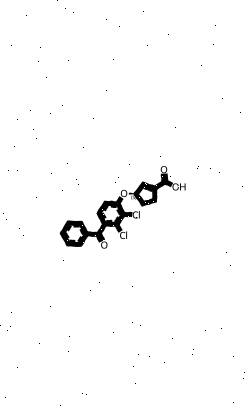 O=C(O)C1=C[C@@H](Oc2ccc(C(=O)c3ccccc3)c(Cl)c2Cl)CC1